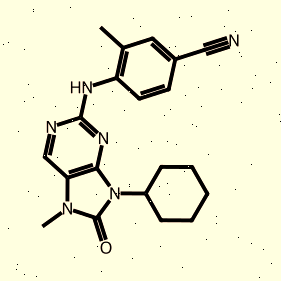 Cc1cc(C#N)ccc1Nc1ncc2c(n1)n(C1CCCCC1)c(=O)n2C